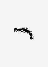 c1ccc(-c2ccc3sc(-c4ccc(-c5nc6sc(-c7ccc(-c8cc9cc(-c%10ccccn%10)ccc9s8)s7)nc6s5)s4)cc3c2)nc1